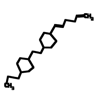 C=CCCC=CC1CCC(CCC2CCC(CCC)CC2)CC1